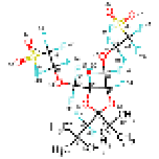 CC(C)(C)C(F)(F)C1(C(C)(C)C)OC(F)(C(F)(F)OC(F)(F)C(F)(F)S(=O)(=O)F)C(F)(C(F)(F)OC(F)(F)C(F)(F)S(=O)(=O)F)O1